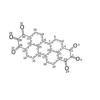 O=C1C(=O)c2ccc3c4ccc5c6c(ccc(c7ccc(c2c37)C1=O)c64)C(=O)C(=O)C5=O